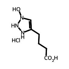 Cl.O=C(O)CCCC1=CN(O)NN1